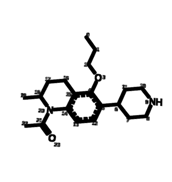 CCCOc1c(C2CCNCC2)ccc2c1CCC(C)N2C(C)=O